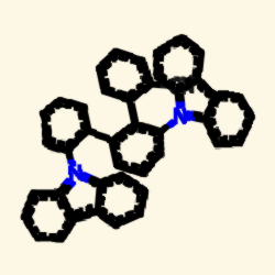 N#Cc1ccccc1-c1c(-c2ccccc2-n2c3ccccc3c3ccccc32)cccc1-n1c2ccccc2c2ccccc21